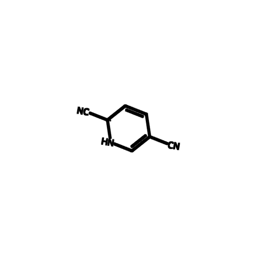 N#C[C]1C=CC(C#N)=CN1